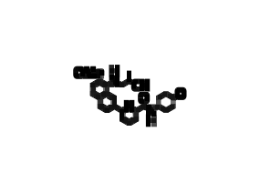 COc1ccc2ccc(-c3cccc(C(=O)NC4CCC(=O)CC4)n3)cc2c1NCC(C)C#N